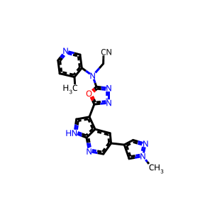 Cc1ccncc1N(CC#N)c1nnc(-c2c[nH]c3ncc(-c4cnn(C)c4)cc23)o1